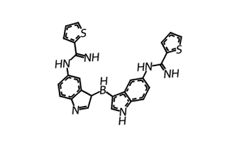 N=C(Nc1ccc2c(c1)C(Bc1c[nH]c3ccc(NC(=N)c4cccs4)cc13)C=N2)c1cccs1